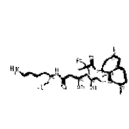 CCC(C)(C)C(=O)O[C@H]1C[C@@H](C)C=C2C=C[C@@H](C)[C@H](CC[C@@H](O)C[C@@H](O)CC(=O)N[C@H](CO)CCCCN)[C@H]21